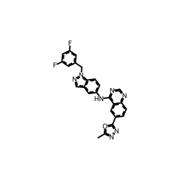 Cc1nnc(-c2ccc3ncnc(Nc4ccc5c(cnn5Cc5cc(F)cc(F)c5)c4)c3c2)o1